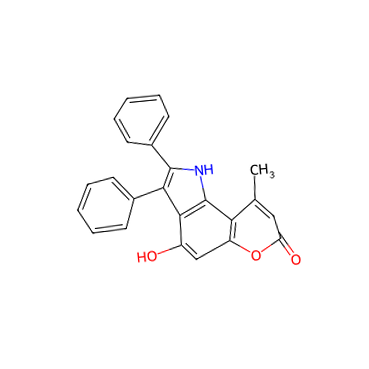 Cc1cc(=O)oc2cc(O)c3c(-c4ccccc4)c(-c4ccccc4)[nH]c3c12